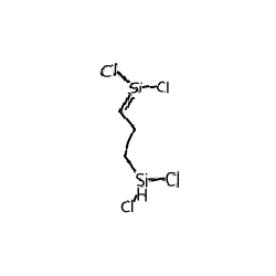 Cl[Si](Cl)=CCC[SiH](Cl)Cl